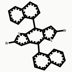 Brc1cc2c(-c3cccc4ccccc34)c3sc(Br)cc3c(-c3cccc4ccccc34)c2s1